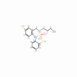 O=S1(=O)N(CCCBr)Cc2cc(F)ccc2N1c1ccccc1F